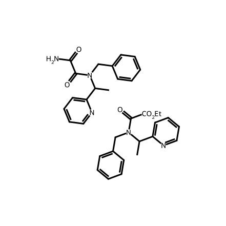 CC(c1ccccn1)N(Cc1ccccc1)C(=O)C(N)=O.CCOC(=O)C(=O)N(Cc1ccccc1)C(C)c1ccccn1